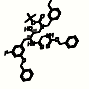 CCc1cccc(CN(C[C@@H](O)[C@H](Cc2cc(F)cc(OCc3ccccc3)c2)NC(=O)CNC(=O)OCc2ccccc2)C(=O)OC(C)(C)C)c1